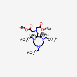 CC(C)(C)OC(=O)CN(CC(=O)OC(C)(C)C)CC1(C(C)(C)C)N(CC(=O)O)CCN(CC(=O)O)CCN(CC(=O)O)C1(C(C)(C)C)C(C)(C)C